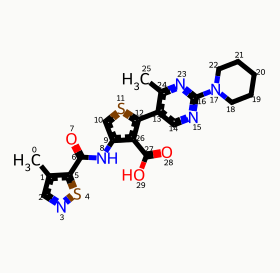 Cc1cnsc1C(=O)Nc1csc(-c2cnc(N3CCCCC3)nc2C)c1C(=O)O